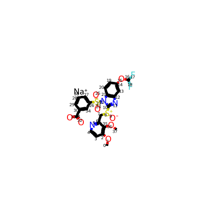 COc1ccnc(C[S+]([O-])c2nc3cc(OC(F)F)ccc3n2S(=O)(=O)c2cccc(C(=O)[O-])c2)c1OC.[Na+]